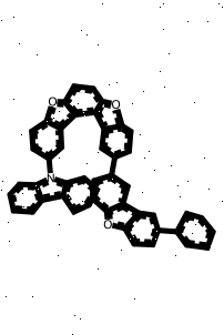 c1ccc(-c2ccc3oc4ccc(-c5ccc6oc7ccc8oc9ccc(-n%10c%11ccccc%11c%11ccccc%11%10)cc9c8c7c6c5)cc4c3c2)cc1